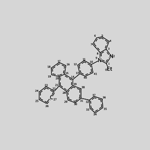 CCc1nc2ccccc2n1-c1ccc(-c2c3ccccc3c(-c3ccccc3)c3ccc(-c4ccccc4)cc23)cc1